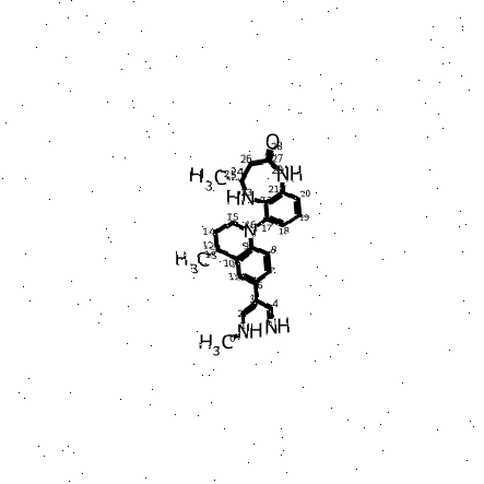 CN/C=C(\C=N)c1ccc2c(c1)[C@H](C)CCN2c1cccc2c1N[C@H](C)CC(=O)N2